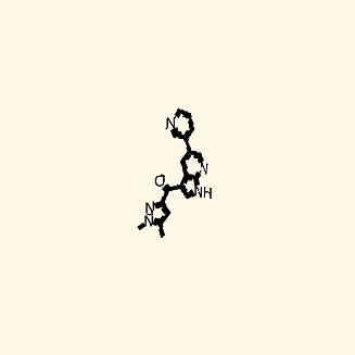 Cc1cc(C(=O)c2c[nH]c3ncc(-c4cccnc4)cc23)nn1C